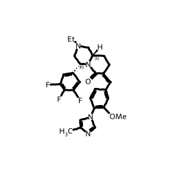 CCN1C[C@@H]2CCC(=Cc3ccc(-n4cnc(C)c4)c(OC)c3)C(=O)N2[C@H](c2cc(F)c(F)c(F)c2)C1